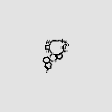 CC1(C)C/C=C/[C@H](O)[C@@H]2CC[C@H]2CN2C[C@@]3(CCCc4cc(Cl)ccc43)COc3ccc(cc32)C(=O)NS1(=O)=O